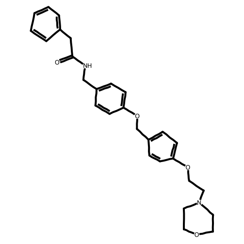 O=C(Cc1ccccc1)NCc1ccc(OCc2ccc(OCCN3CCOCC3)cc2)cc1